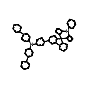 c1ccc(-c2ccc(N(c3ccc(-c4ccccc4)cc3)c3ccc(-c4ccc5c(c4)-c4ccccc4C54c5ccccc5N(c5ccccc5)c5ccccc54)cc3)cc2)cc1